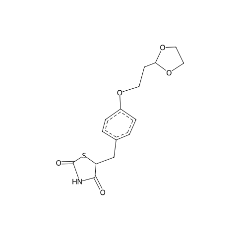 O=C1NC(=O)C(Cc2ccc(OCCC3OCCO3)cc2)S1